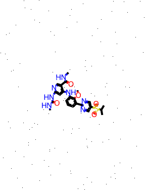 CNC(=O)Nc1cc(Nc2cccc(-c3ncc(S(=O)(=O)C(C)C)cn3)c2OC)c(C(=O)NC)cn1